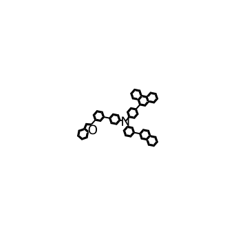 c1cc(-c2ccc(N(c3ccc(-c4cc5ccccc5c5ccccc45)cc3)c3cccc(-c4ccc5ccccc5c4)c3)cc2)cc(-c2cc3ccccc3o2)c1